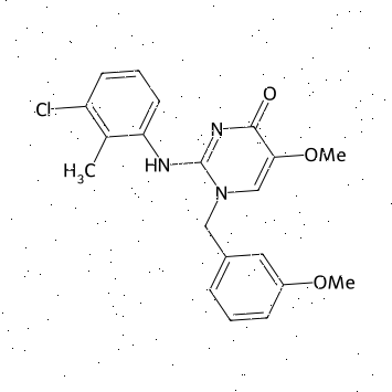 COc1cccc(Cn2cc(OC)c(=O)nc2Nc2cccc(Cl)c2C)c1